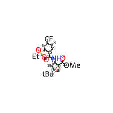 CCS(=O)(=O)c1cc(C(F)(F)F)ccc1C(=O)Nc1cc(C(C)(C)C)oc1C(=O)OC